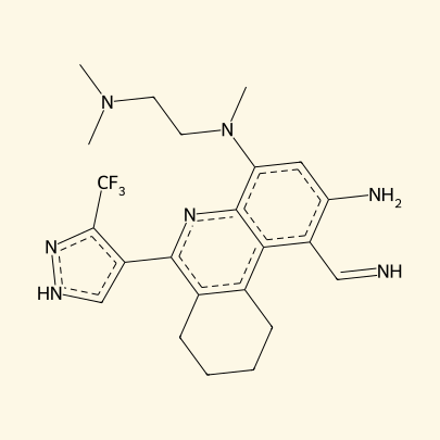 CN(C)CCN(C)c1cc(N)c(C=N)c2c3c(c(-c4c[nH]nc4C(F)(F)F)nc12)CCCC3